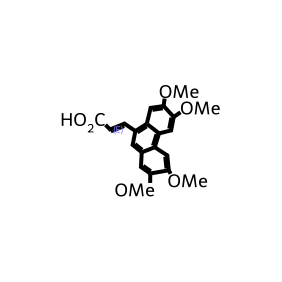 COc1cc2cc(/C=C/C(=O)O)c3cc(OC)c(OC)cc3c2cc1OC